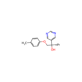 CCCC(O)(COc1ccc(C)cc1)c1cncnc1